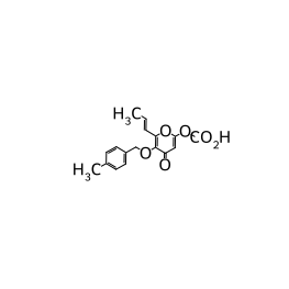 CC=Cc1oc(OC(=O)O)cc(=O)c1OCc1ccc(C)cc1